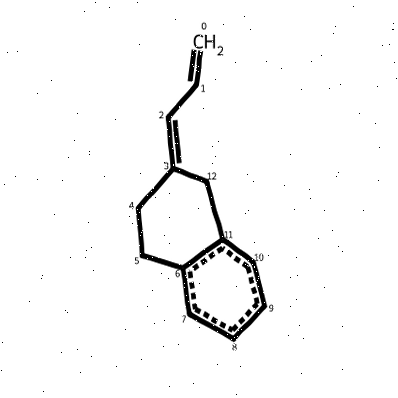 C=CC=C1CCc2ccccc2C1